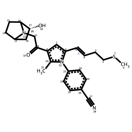 CSCC/C=C/c1cc(C(=O)CN2C3CCC2[C@H](O)C3)c(C)n1-c1ccc(C#N)cc1